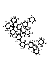 C1=CCC(c2cccc3c2oc2cccc(N(c4cccc(-c5cccc(-c6ccc7c(c6)c6ccccc6n7-c6ccccc6)c5)c4)c4ccc5c(c4)C(c4ccccc4)(c4ccccc4)c4ccccc4-5)c23)C=C1